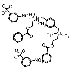 C[N+](C)(CCOC(=O)c1ccccc1)Cc1ccc(C[N+](C)(C)CCOC(=O)c2ccccc2)cc1.O=[N+]([O-])c1cccc(S(=O)(=O)[O-])c1.O=[N+]([O-])c1cccc(S(=O)(=O)[O-])c1